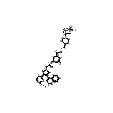 Cc1cccc(-c2nn(CC(=O)Nc3cc(F)cc(C(=O)OCCN4CCN(C(=O)OC(C)(C)C)CC4)c3)cc2-c2ccnc3ccccc23)n1